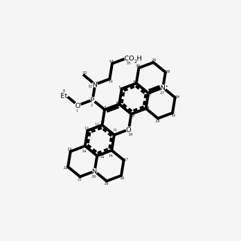 CCOP(C1=c2cc3c4c(c2Oc2c1cc1c5c2CCCN5CCC1)CCC[N+]=4CCC3)N(C)CCC(=O)O